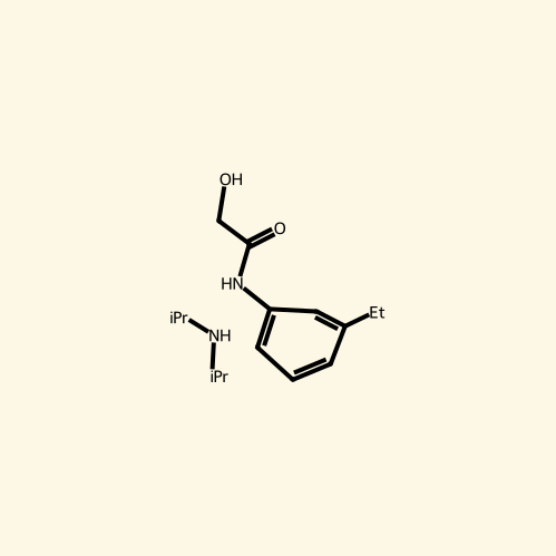 CC(C)NC(C)C.CCc1cccc(NC(=O)CO)c1